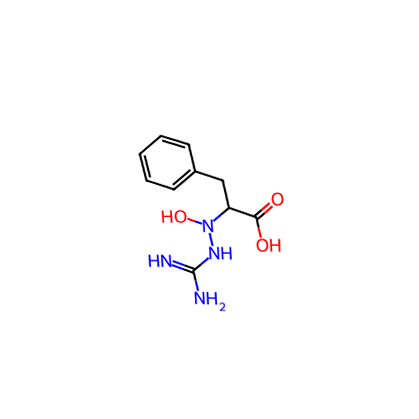 N=C(N)NN(O)C(Cc1ccccc1)C(=O)O